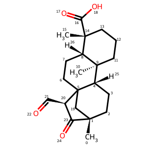 C[C@]12CC[C@@H]3C(CC[C@H]4[C@@]3(C)CCC[C@@]4(C)C(=O)O)(C1)[C@H](C=O)C2=O